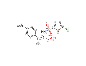 CC[C@H](c1ccc(OC)cc1)[C@@H](CO)NS(=O)(=O)c1ccc(Cl)s1